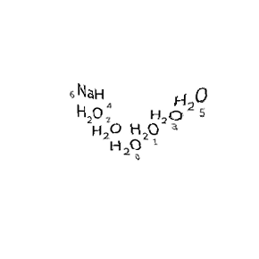 O.O.O.O.O.O.[NaH]